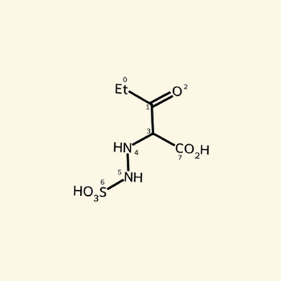 CCC(=O)C(NNS(=O)(=O)O)C(=O)O